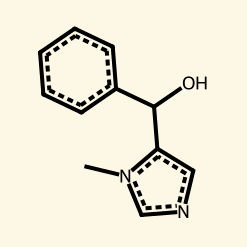 Cn1cncc1C(O)c1ccccc1